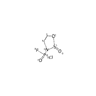 O=S1OCCN1P(=O)(F)Cl